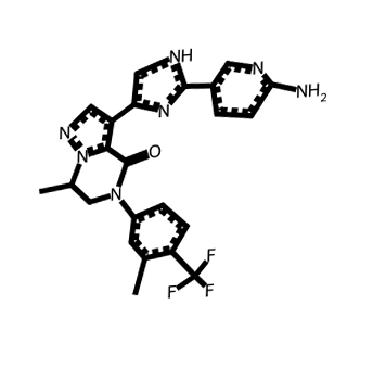 Cc1cc(N2CC(C)n3ncc(-c4c[nH]c(-c5ccc(N)nc5)n4)c3C2=O)ccc1C(F)(F)F